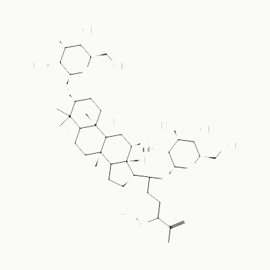 C=C(C)C(CC[C@](C)(O[C@@H]1O[C@H](CO)[C@@H](O)[C@H](O)[C@H]1O)[C@H]1CC[C@]2(C)[C@@H]1[C@H](O)C[C@@H]1[C@@]3(C)CC[C@H](O[C@@H]4O[C@H](CO)[C@@H](O)[C@H](O)[C@H]4O)C(C)(C)[C@@H]3CC[C@]12C)OO